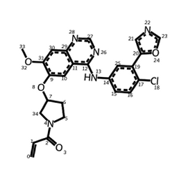 C=CC(=O)N1CCC(Oc2cc3c(Nc4ccc(Cl)c(-c5cnco5)c4)ncnc3cc2OC)C1